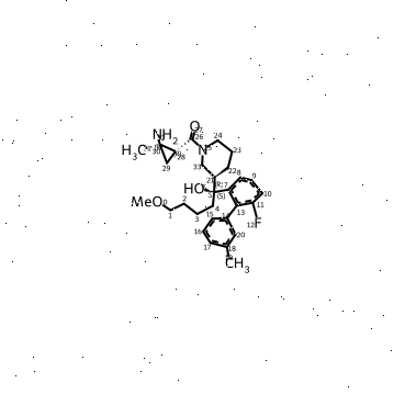 COCCCC[C@@](O)(c1cccc(F)c1-c1cccc(C)c1)[C@@H]1CCCN(C(=O)[C@@H]2C[C@@]2(C)N)C1